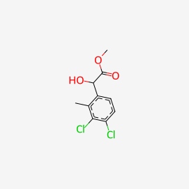 COC(=O)C(O)c1ccc(Cl)c(Cl)c1C